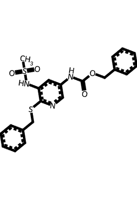 CS(=O)(=O)Nc1cc(NC(=O)OCc2ccccc2)cnc1SCc1ccccc1